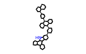 c1cc(-c2ccc3c(c2)[nH]c2c4ccccc4c4ccccc4c32)cc(-c2c3ccccc3c(-c3ccc(-c4cccc5ccccc45)cc3)c3ccccc23)c1